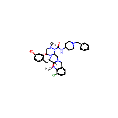 CN(C)c1c(Cl)cccc1CN1CC2N(C(=O)CN(C)N2C(=O)NC2CCN(Cc3ccccc3)CC2)[C@@H](Cc2ccc(O)cc2)C1=O